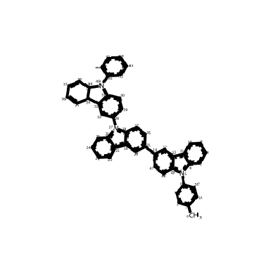 Cc1ccc(-n2c3ccccc3c3cc(-c4ccc5c(c4)c4ccccc4n5-c4ccc5c(c4)C4C=CC=CC4N5c4ccccc4)ccc32)cc1